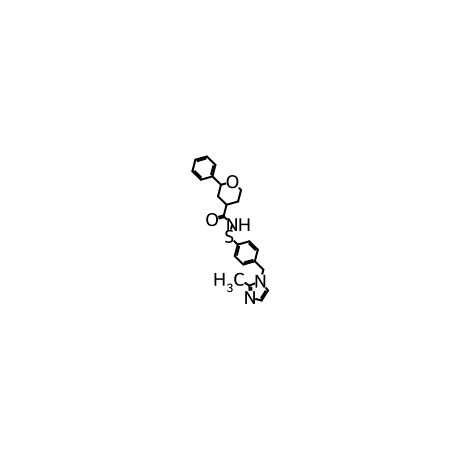 Cc1nccn1Cc1ccc(SNC(=O)C2CCOC(c3ccccc3)C2)cc1